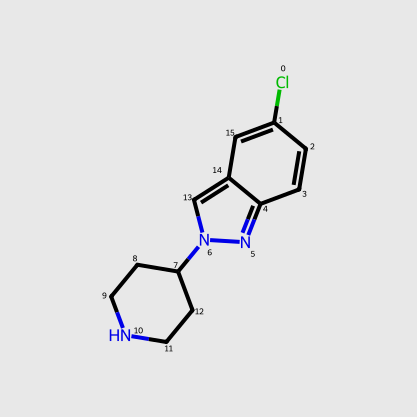 Clc1ccc2nn(C3CCNCC3)cc2c1